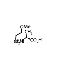 COCCOC.C[C@H](N)C(=O)O